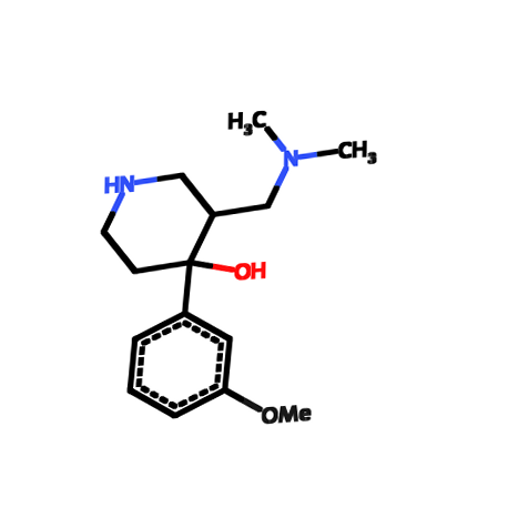 COc1cccc(C2(O)CCNCC2CN(C)C)c1